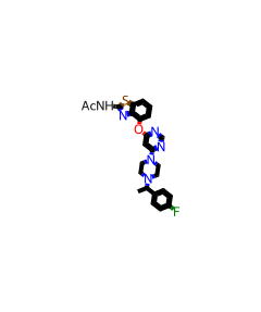 CC(=O)Nc1nc2c(Oc3cc(N4CCN(C(C)c5ccc(F)cc5)CC4)ncn3)cccc2s1